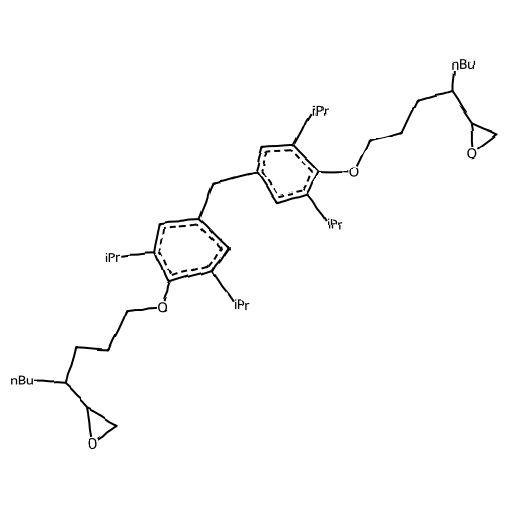 CCCCC(CCCOc1c(C(C)C)cc(Cc2cc(C(C)C)c(OCCCC(CCCC)C3CO3)c(C(C)C)c2)cc1C(C)C)C1CO1